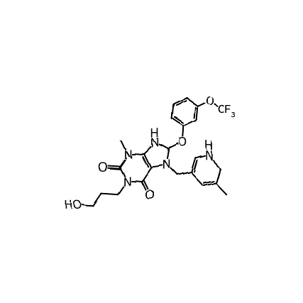 CC1=CC(CN2c3c(n(C)c(=O)n(CCCO)c3=O)NC2Oc2cccc(OC(F)(F)F)c2)=CNC1